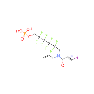 C=CCN(CC(F)(F)C(F)(F)C(F)(F)C(F)(F)COP(=O)(O)O)C(=O)/C=C/I